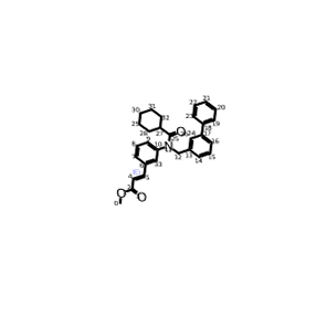 COC(=O)/C=C/c1cccc(N(Cc2cccc(-c3ccccc3)c2)C(=O)C2CCCCC2)c1